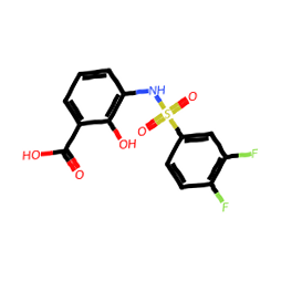 O=C(O)c1cccc(NS(=O)(=O)c2ccc(F)c(F)c2)c1O